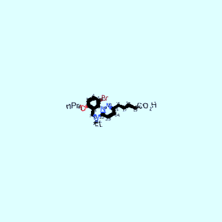 CCCOc1ccc(Br)cc1CN(CC)c1ccc(CCCCC(=O)O)nn1